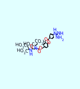 N=C(N)Nc1ccc(C(=O)Oc2ccc(COC(=O)N(CC(=O)NC(CC(=O)O)C(=O)O)C(CC(=O)O)C(=O)O)cc2)cc1